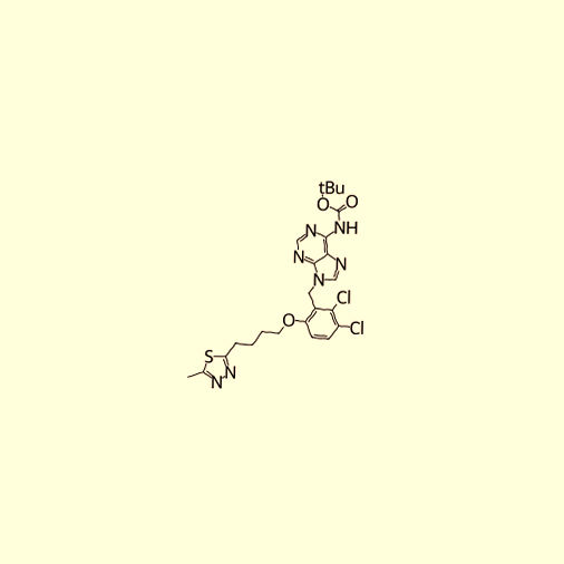 Cc1nnc(CCCCOc2ccc(Cl)c(Cl)c2Cn2cnc3c(NC(=O)OC(C)(C)C)ncnc32)s1